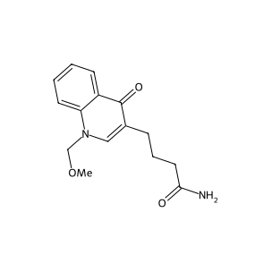 COCn1cc(CCCC(N)=O)c(=O)c2ccccc21